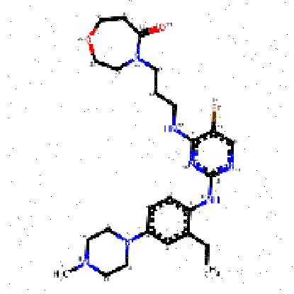 CCc1cc(N2CCN(C)CC2)ccc1Nc1ncc(Br)c(NCCCN2CCOCCC2=O)n1